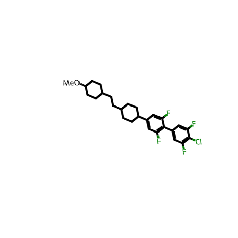 COC1CCC(CCC2CCC(c3cc(F)c(-c4cc(F)c(Cl)c(F)c4)c(F)c3)CC2)CC1